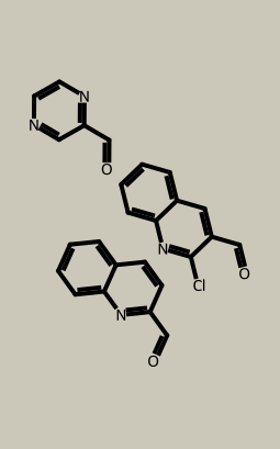 O=Cc1cc2ccccc2nc1Cl.O=Cc1ccc2ccccc2n1.O=Cc1cnccn1